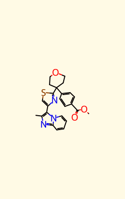 COC(=O)c1ccc(C2(c3nc(-c4c(C)nc5ccccn45)cs3)CCOCC2)cc1